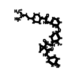 CN(C)CCN1CCN(C(=O)Nc2cc(Oc3ccc(NC(=O)C4(C(=O)Nc5ccc(F)cc5)CC4)c(F)c3)ccn2)CC1